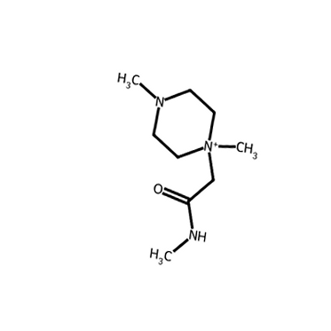 CNC(=O)C[N+]1(C)CCN(C)CC1